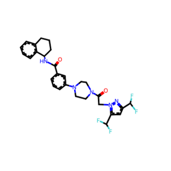 O=C(N[C@@H]1CCCc2ccccc21)c1cccc(N2CCN(C(=O)Cn3nc(C(F)F)cc3C(F)F)CC2)c1